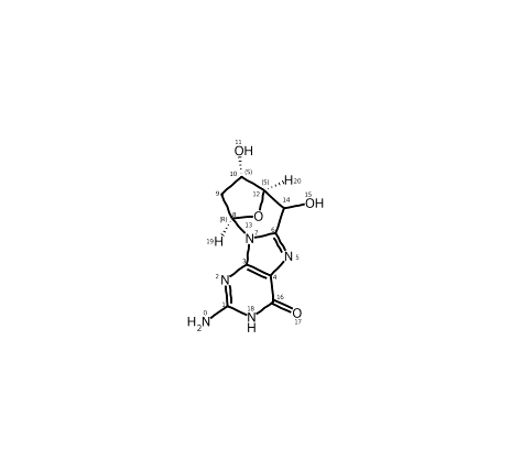 Nc1nc2c(nc3n2[C@H]2C[C@H](O)[C@H](O2)C3O)c(=O)[nH]1